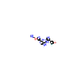 COc1cc(F)cc(-c2cncc3[nH]c(-c4n[nH]c5cnc(-c6cncc(OCCN(C)C)c6)cc45)nc23)c1